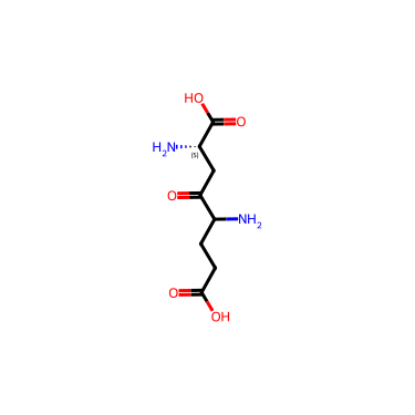 NC(CCC(=O)O)C(=O)C[C@H](N)C(=O)O